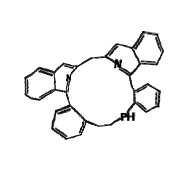 c1ccc2c(c1)CCPc1ccccc1-c1nc(cc3ccccc13)Cc1cc3ccccc3c-2n1